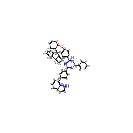 C1=CCC2Oc3ccc(C4=NC(c5ccc(-c6cccc7cc[nH]c67)cc5)=NC(c5ccccc5)N4)cc3C3(C2=C1)C1=C(C=CCC1)c1ccccc13